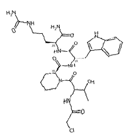 CC(O)C(NC(=O)CCl)C(=O)N1CCCC[C@H]1C(=O)N[C@@H](Cc1c[nH]c2ccccc12)C(=O)N[C@@H](CCCNC(N)=O)C(N)=O